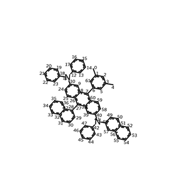 Cc1cc(C)cc(-c2c3cc(N(c4ccccc4)c4ccccc4)ccc3c(-c3cccc4ccccc34)c3cc(N(c4ccccc4)c4ccc5ccccc5c4)ccc23)c1